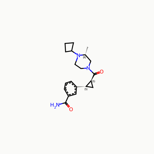 C[C@@H]1CN(C(=O)[C@H]2C[C@@H]2c2cccc(C(N)=O)c2)CCN1C1CCC1